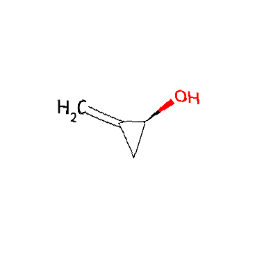 C=C1C[C@@H]1O